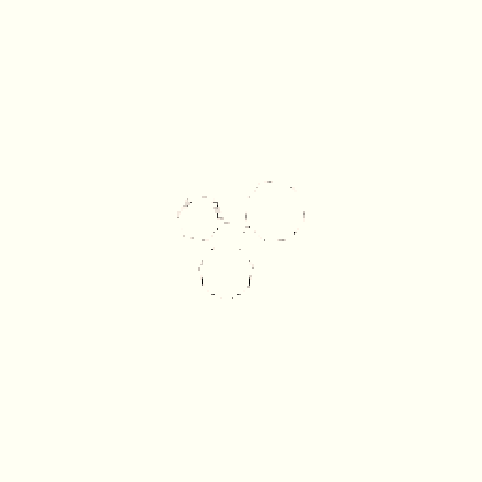 C1=CCCC(C2(C3CCCCCC3)CCCCCCC2)=C1